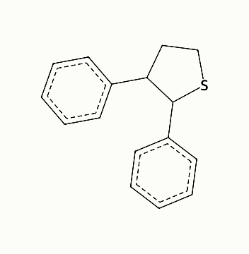 c1ccc(C2CCSC2c2ccccc2)cc1